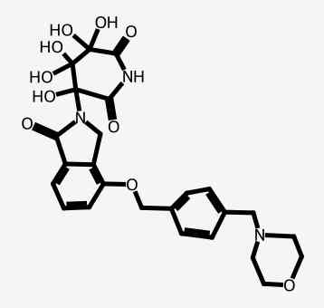 O=C1c2cccc(OCc3ccc(CN4CCOCC4)cc3)c2CN1C1(O)C(=O)NC(=O)C(O)(O)C1(O)O